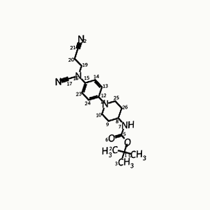 CC(C)(C)OC(=O)NC1CCN(c2ccc(N(C#N)CCC#N)cc2)CC1